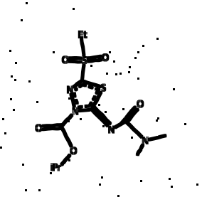 CCS(=O)(=O)c1nn(C(=O)OC(C)C)c(=NC(=O)N(C)C)s1